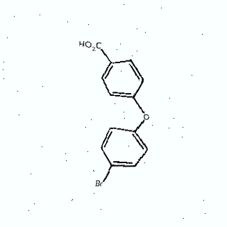 O=C(O)c1ccc(Oc2ccc(Br)cc2)cc1